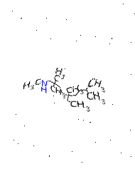 CCC(C)(CCC(C)C)CCC(C)(C)CNC